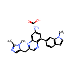 Cc1ncc(Cc2cnc3c(-c4ccc5ccn(C)c5c4)cc(N)cc3n2)n1C.O=CO